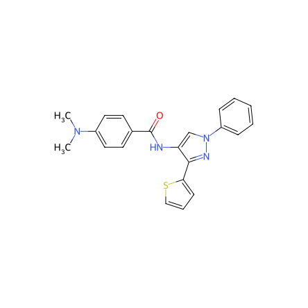 CN(C)c1ccc(C(=O)Nc2cn(-c3ccccc3)nc2-c2cccs2)cc1